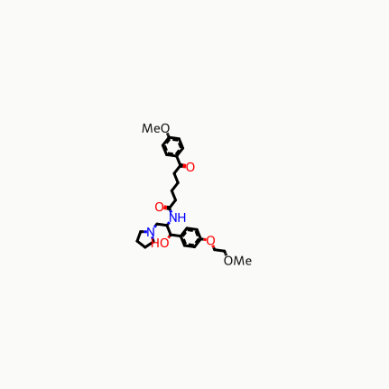 COCCOc1ccc(C(O)C(CN2CCCC2)NC(=O)CCCCC(=O)c2ccc(OC)cc2)cc1